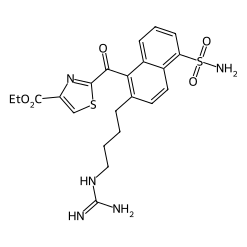 CCOC(=O)c1csc(C(=O)c2c(CCCCNC(=N)N)ccc3c(S(N)(=O)=O)cccc23)n1